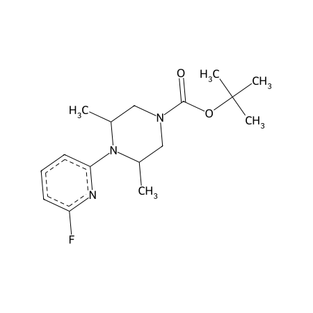 CC1CN(C(=O)OC(C)(C)C)CC(C)N1c1cccc(F)n1